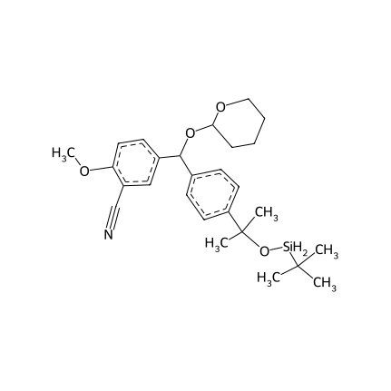 COc1ccc(C(OC2CCCCO2)c2ccc(C(C)(C)O[SiH2]C(C)(C)C)cc2)cc1C#N